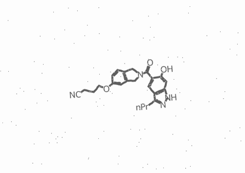 CCCc1n[nH]c2cc(O)c(C(=O)N3Cc4ccc(OCCCC#N)cc4C3)cc12